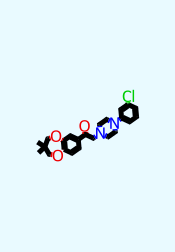 CC1(C)COc2ccc(C(=O)CN3CCN(c4cccc(Cl)c4)CC3)cc2OC1